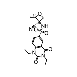 CCn1c(=O)c2cc(S(=O)(=O)N[C@]3(C#N)CO[C@@H]3C)ccc2n(CC)c1=O